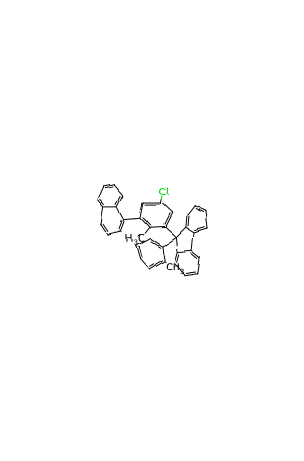 Cc1ccccc1C1(c2cc(Cl)cc(-c3cccc4ccccc34)c2C)c2ccccc2-c2ccccc21